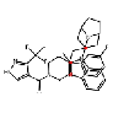 Cc1nc2ccccc2n1C1CC2CCC(C1)N2CCC1(c2cccc(F)c2)CCN(C(=O)c2c[nH]nc2C(F)(F)F)CC1